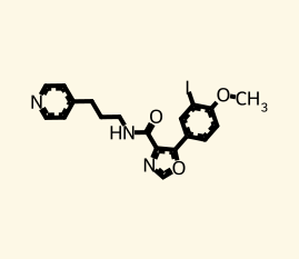 COc1ccc(-c2ocnc2C(=O)NCCCc2ccncc2)cc1I